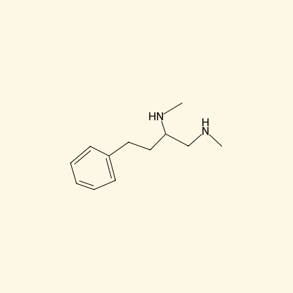 CNCC(CCc1ccccc1)NC